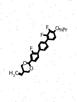 C=CC1COC(c2ccc(-c3ccc(-c4ccc(OCCC)c(F)c4F)cc3)c(F)c2)OC1